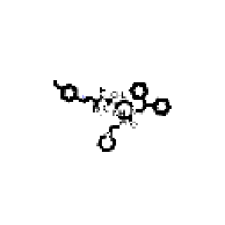 CC(C)(NC(=O)/C=C/c1ccc(CI)cc1)[C@@H]1CCN(CC(c2ccccc2)c2ccccc2)C(=O)[C@H](CCN2CCCCC2)N1